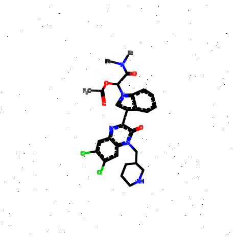 CCN(CC)C(=O)C(OC(=O)C(F)(F)F)n1cc(-c2nc3cc(Cl)c(Cl)cc3n(CC3CCCNC3)c2=O)c2ccccc21